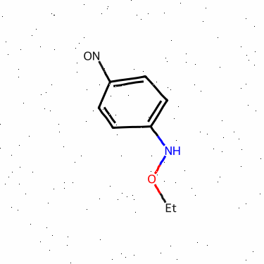 CCONc1ccc(N=O)cc1